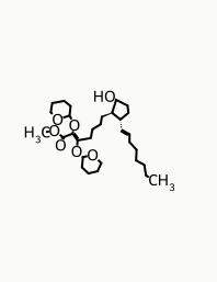 CCCCCC/C=C/[C@H]1CC[C@H](O)[C@@H]1CCCC/C(OC1CCCCO1)=C(\OC1CCCCO1)C(=O)OC